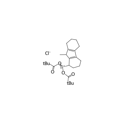 CC1C2=C(CCCC2)C2=C1[CH]([Ti+]([O]C(=O)C(C)(C)C)[O]C(=O)C(C)(C)C)CCC2.[Cl-]